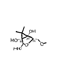 COC[C@@H]1OC(O)[C@@]2(O)C(C)(C)[C@@]12O